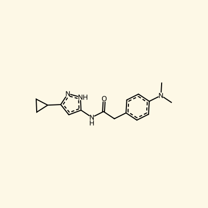 CN(C)c1ccc(CC(=O)Nc2cc(C3CC3)n[nH]2)cc1